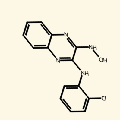 ONc1nc2ccccc2nc1Nc1ccccc1Cl